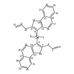 C=CCC1=C([Si](C)(C)C2=C(CC=C)Cc3c2ccc2ccccc32)c2ccc3ccccc3c2C1